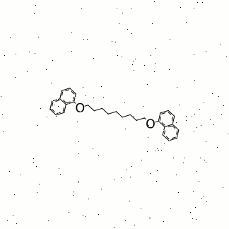 c1ccc2c(OCCCCCCCCCOc3cccc4ccccc34)cccc2c1